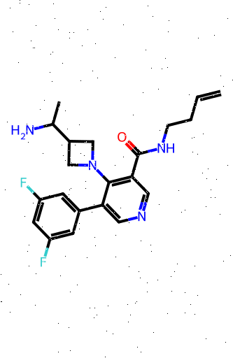 C=CCCNC(=O)c1cncc(-c2cc(F)cc(F)c2)c1N1CC(C(C)N)C1